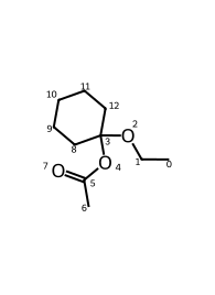 CCOC1(OC(C)=O)CCCCC1